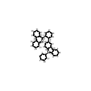 c1ccc(-n2c3ccccc3c3cc(-c4ccccc4-c4nc5ccccc5c5ccccc45)ccc32)cc1